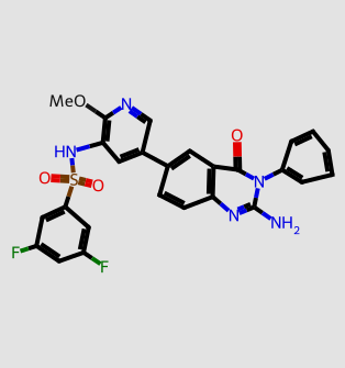 COc1ncc(-c2ccc3nc(N)n(-c4ccccc4)c(=O)c3c2)cc1NS(=O)(=O)c1cc(F)cc(F)c1